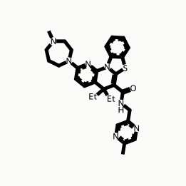 CCC1(CC)C(C(=O)NCc2cnc(C)cn2)=C2Sc3ccccc3N2c2nc(N3CCCN(C)CC3)ccc21